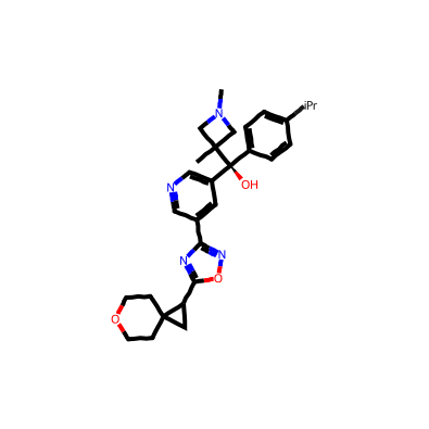 CC(C)c1ccc([C@](O)(c2cncc(-c3noc(C4CC45CCOCC5)n3)c2)C2(C)CN(C)C2)cc1